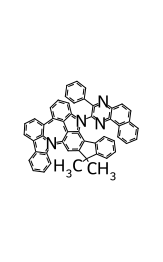 CC1(C)c2ccccc2-c2c1cc1c3c4c(cccc4n(-c4nc5c(ccc6ccccc65)nc4-c4ccccc4)c23)c2cccc3c4ccccc4n1c23